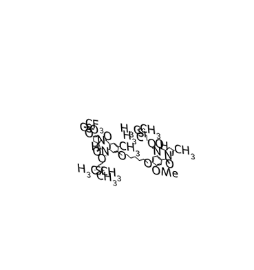 COc1cc2c(cc1OCCCCCOc1cc3c(cc1C)C(=O)N1C=C(OS(=O)(=O)C(F)(F)F)C[C@H]1C(=O)N3COCC[Si](C)(C)C)N(COCC[Si](C)(C)C)C(=O)[C@@H]1CC(C)=CN1C2=O